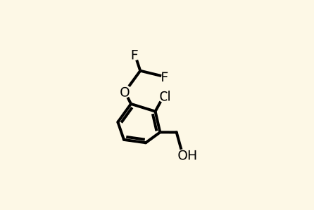 OCc1cccc(OC(F)F)c1Cl